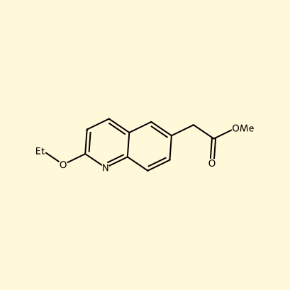 CCOc1ccc2cc(CC(=O)OC)ccc2n1